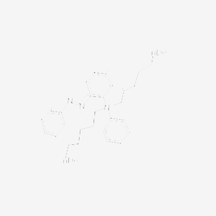 CCCCCCCCCCCCCCC[N+](CCCCCCCCCCCCCCC)(c1ccccc1)c1ccccc1N=Nc1ccccc1